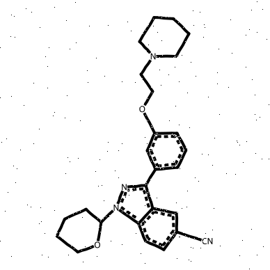 N#Cc1ccc2c(c1)c(-c1cccc(OCCN3CCCCC3)c1)nn2C1CCCCO1